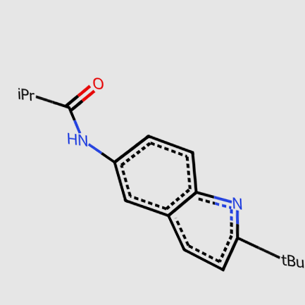 CC(C)C(=O)Nc1ccc2nc(C(C)(C)C)ccc2c1